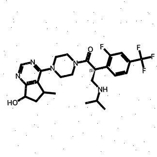 CC(C)NC[C@@H](C(=O)N1CCN(c2ncnc3c2C(C)CC3O)CC1)c1ccc(C(F)(F)F)cc1F